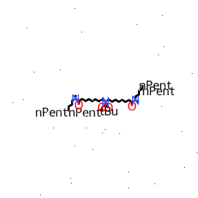 CCCCCC(CCCCC)CCCN(C)C(=O)CCCCCCCN(CCCCCCCC(=O)N(C)CCCC(CCCCC)CCCCC)C(=O)OC(C)(C)C